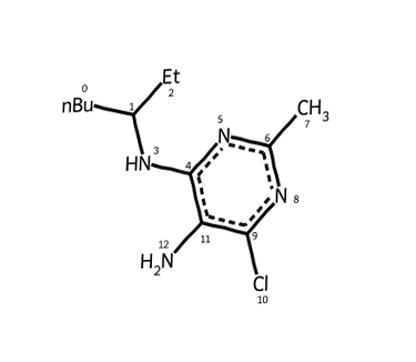 CCCCC(CC)Nc1nc(C)nc(Cl)c1N